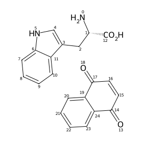 N[C@@H](Cc1c[nH]c2ccccc12)C(=O)O.O=C1C=CC(=O)c2ccccc21